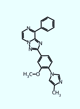 COc1cc(-c2nc3c(-c4ccccc4)nccn3n2)ccc1-n1cnc(C)c1